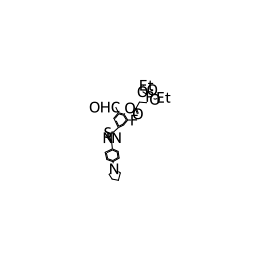 CCOP(=O)(CCC(=O)Oc1c(F)cc(-c2nc(-c3ccc(N4CCCC4)cc3)ns2)cc1C=O)OCC